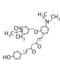 CCN(CC)c1ccc(/C=C/C(=O)CC(=O)/C=C/c2ccc(O)cc2)c(OCc2ccc(C(C)(C)C)cc2)c1